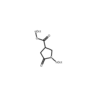 CCCCCCCCOC(=O)C1CC(=O)N(CCCCCCCC)C1